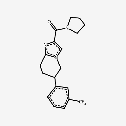 O=C(c1cn2c(n1)CCC(c1cccc(C(F)(F)F)c1)C2)N1CCCC1